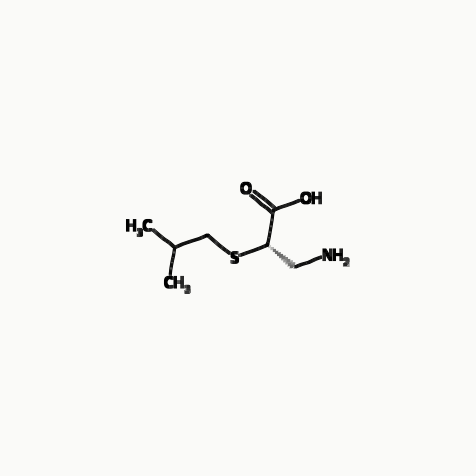 CC(C)CS[C@@H](CN)C(=O)O